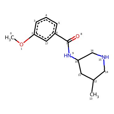 COc1cccc(C(=O)NC2[CH]C(C)CNC2)c1